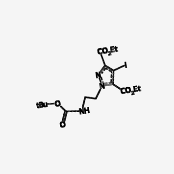 CCOC(=O)c1nn(CCNC(=O)OC(C)(C)C)c(C(=O)OCC)c1I